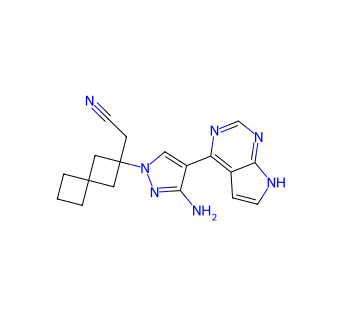 N#CCC1(n2cc(-c3ncnc4[nH]ccc34)c(N)n2)CC2(CCC2)C1